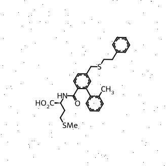 CSCC[C@H](NC(=O)c1ccc(CSCCc2ccccc2)cc1-c1ccccc1C)C(=O)O